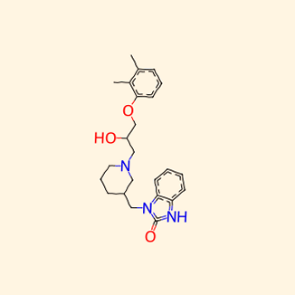 Cc1cccc(OCC(O)CN2CCCC(Cn3c(=O)[nH]c4ccccc43)C2)c1C